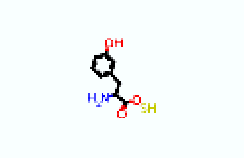 NC(Cc1cccc(O)c1)C(=O)OS